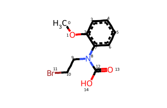 COc1ccccc1N(CCBr)C(=O)O